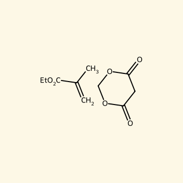 C=C(C)C(=O)OCC.O=C1CC(=O)OCO1